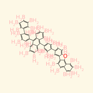 Bc1c(B)c(B)c(-c2c(B)c(B)c(B)c(-c3c4c(B)c(B)c(B)c(B)c4c(-c4c(B)c(B)c(-c5c(B)c(B)c6oc7c8c(B)c(B)c(B)c(B)c8c(B)c(B)c7c6c5B)c(B)c4B)c4c(B)c(B)c(B)c(B)c34)c2B)c(B)c1B